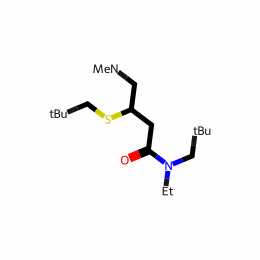 CCN(CC(C)(C)C)C(=O)CC(CNC)SCC(C)(C)C